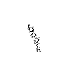 N#CC=CCC[C@H]1CC[C@H]([C@H]2CC[C@H](c3ccc(F)cc3)CC2)CC1